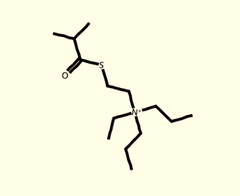 CCC[N+](CC)(CCC)CCSC(=O)C(C)C